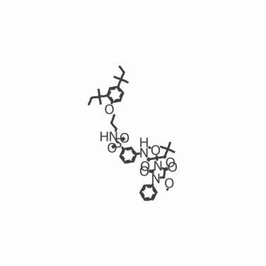 CCC(C)(C)c1ccc(OCCCNS(=O)(=O)c2cccc(NC(=O)C(OC)(C(=O)C(C)(C)C)N3C(=O)C(OC)N(c4ccccc4)C3=O)c2)c(C(C)(C)CC)c1